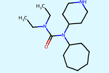 CCN(CC)C(=O)N(C1CCCCCC1)C1CCNCC1